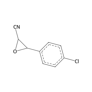 N#CC1OC1c1ccc(Cl)cc1